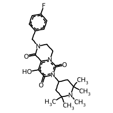 CN1C(C)(C)CC(n2c(=O)c(O)c3n(c2=O)CCN(Cc2ccc(F)cc2)C3=O)CC1(C)C